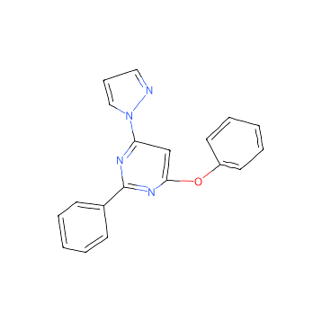 c1ccc(Oc2cc(-n3cccn3)nc(-c3ccccc3)n2)cc1